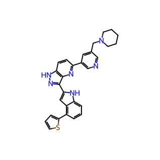 c1csc(-c2cccc3[nH]c(-c4n[nH]c5ccc(-c6cncc(CN7CCCCC7)c6)nc45)cc23)c1